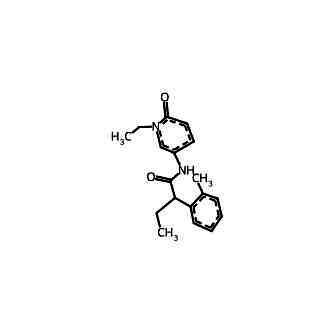 CCC(C(=O)Nc1ccc(=O)n(CC)c1)c1ccccc1C